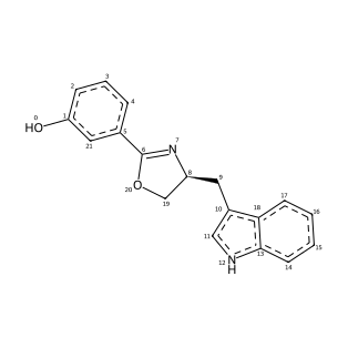 Oc1cccc(C2=N[C@@H](Cc3c[nH]c4ccccc34)CO2)c1